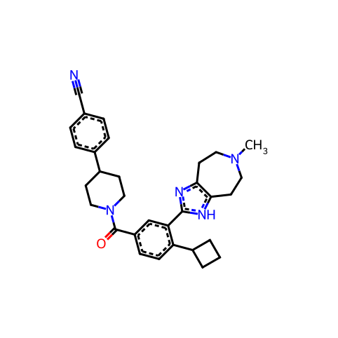 CN1CCc2nc(-c3cc(C(=O)N4CCC(c5ccc(C#N)cc5)CC4)ccc3C3CCC3)[nH]c2CC1